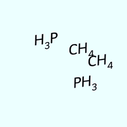 C.C.P.P